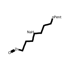 CCCCCCCCCCC[CH2][Zn]=[O].[NaH]